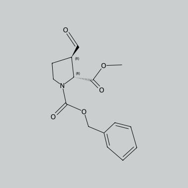 COC(=O)[C@H]1[C@H](C=O)CCN1C(=O)OCc1ccccc1